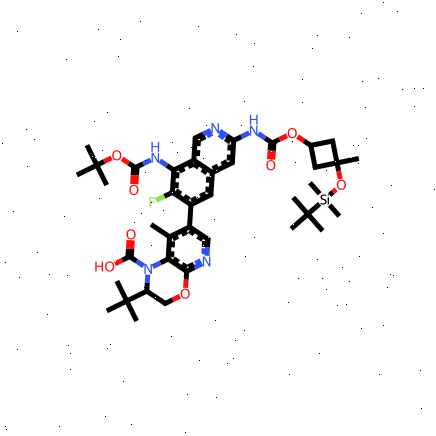 Cc1c(-c2cc3cc(NC(=O)OC4CC(C)(O[Si](C)(C)C(C)(C)C)C4)ncc3c(NC(=O)OC(C)(C)C)c2F)cnc2c1N(C(=O)O)C(C(C)(C)C)CO2